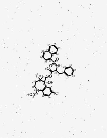 O=C(OC[C@@]1(O)c2cc(Cl)ccc2N(C(=O)O)CCC1(F)F)C(Cc1ccccc1)NS(=O)(=O)c1cccc2ccccc12